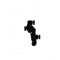 Cc1cc(O)ccc1NS(=O)(=O)c1cc(-c2sc(NC(=O)CC3CCOCC3)nc2C)ccc1C